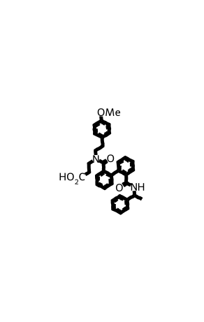 COc1ccc(CCN(CCC(=O)O)C(=O)c2ccccc2-c2ccccc2C(=O)NC(C)c2ccccc2)cc1